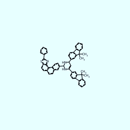 CC1(C)c2ccccc2-c2ccc(C3=CC(c4ccc5c(c4)C(C)(C)c4ccccc4-5)NC(c4ccc5c(ccc6ccc7sc(-c8ccccc8)nc7c65)c4)N3)cc21